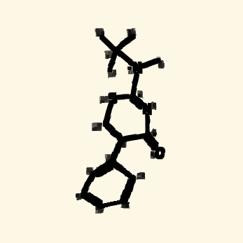 CN(C1=NC(=O)C(c2ccccc2)CS1)C(C)(C)C